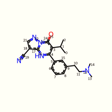 CC(C)c1c(-c2cccc(CCN(C)C)c2)[nH]c2c(C#N)cnn2c1=O